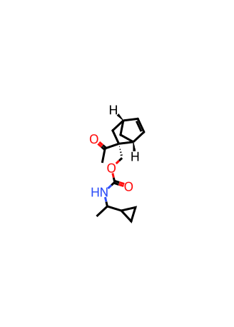 CC(=O)[C@@]1(COC(=O)NC(C)C2CC2)C[C@@H]2C=C[C@H]1C2